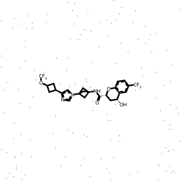 O=C(NC12CC(n3cnc(C4CC(OC(F)(F)F)C4)c3)(C1)C2)[C@H]1C[C@@H](O)c2cc(C(F)(F)F)ccc2O1